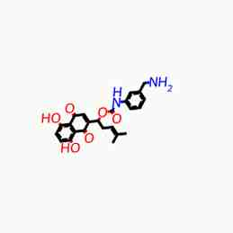 CC(C)=CCC(OC(=O)Nc1cccc(CN)c1)C1=CC(=O)c2c(O)ccc(O)c2C1=O